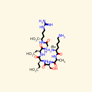 CC[C@H](C)[C@H](NC(=O)[C@H](CC(=O)O)NC(=O)[C@H](CCC(=O)O)NC(=O)[C@H](CO)NC(=O)[C@H](C)NC(=O)[C@@H](N)CCCCN)C(=O)N[C@@H](CCCNC(=N)N)C(=O)O